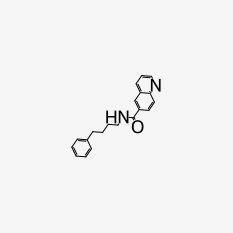 O=C(NCCCCc1ccccc1)c1ccc2ncccc2c1